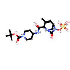 CC1=CC2CN(C(=O)N2OS(=O)(=O)O)C1C(=O)NC1CCN(C(=O)OC(C)(C)C)CC1